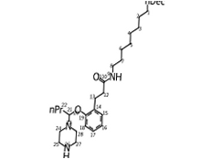 CCCCCCCCCCCCCCCCCCNC(=O)CCc1ccccc1OC(CCC)N1CCNCC1